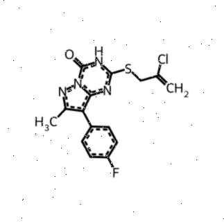 C=C(Cl)CSc1nc2c(-c3ccc(F)cc3)c(C)nn2c(=O)[nH]1